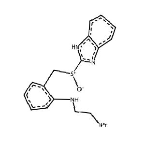 CC(C)CCNc1ccccc1C[S+]([O-])c1nc2ccccc2[nH]1